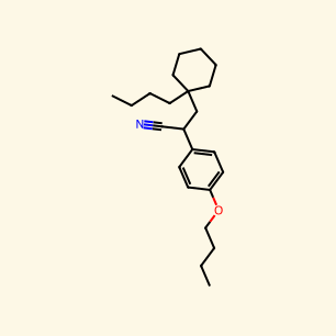 CCCCOc1ccc(C(C#N)CC2(CCCC)CCCCC2)cc1